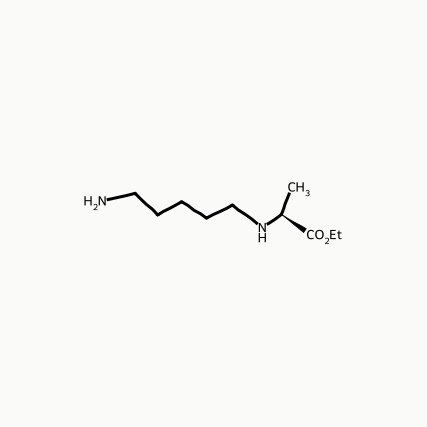 CCOC(=O)[C@H](C)NCCCCCN